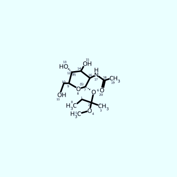 CCC(C)(OC)O[C@@H]1OC(CO)[C@H](O)C(O)C1NC(C)=O